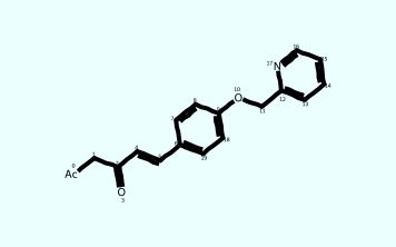 CC(=O)CC(=O)C=Cc1ccc(OCc2ccccn2)cc1